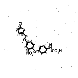 O=C(O)Nc1ccc(Sc2ccc(OCc3cnc(Cl)s3)cc2[N+](=O)[O-])cc1